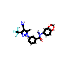 Cc1c(C#N)c(C(F)(F)F)nn1-c1cccc(C(=O)N(C)c2ccc3c(c2)OCO3)c1